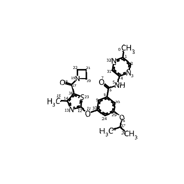 Cc1cnc(NC(=O)c2cc(Oc3nc(C)c(C(=O)N4CCC4)s3)cc(OC(C)C)c2)cn1